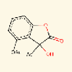 CC(=O)Oc1cccc2c1C(O)(C(C)=O)C(=O)O2